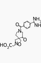 N=C(N)c1ccc(C(=O)N2CCC3(CON(CC(=O)O)C3)C(=O)C2)cc1